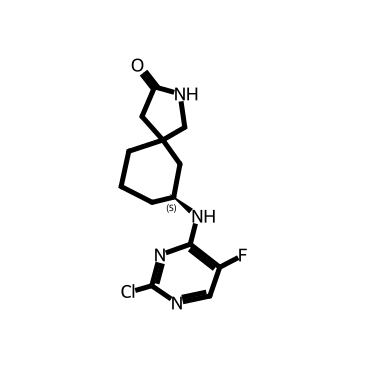 O=C1CC2(CCC[C@H](Nc3nc(Cl)ncc3F)C2)CN1